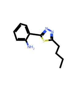 CCCCc1nnc(-c2ccccc2N)s1